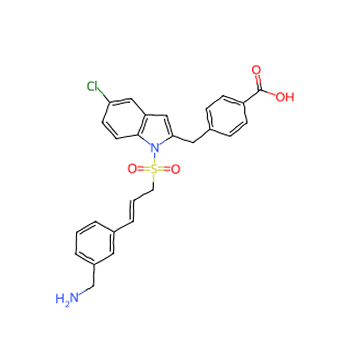 NCc1cccc(C=CCS(=O)(=O)n2c(Cc3ccc(C(=O)O)cc3)cc3cc(Cl)ccc32)c1